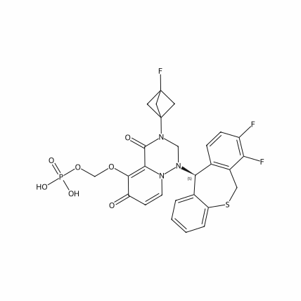 O=C1c2c(OCOP(=O)(O)O)c(=O)ccn2N([C@@H]2c3ccccc3SCc3c2ccc(F)c3F)CN1C12CC(F)(C1)C2